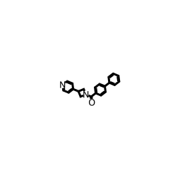 O=C(c1ccc(-c2ccccc2)cc1)N1CC(c2ccncc2)C1